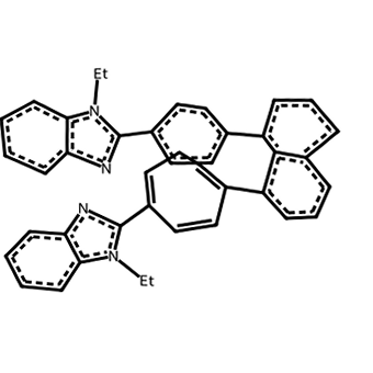 CCn1c(C2=CCC=C(c3cccc4cccc(-c5ccc(-c6nc7ccccc7n6CC)cc5)c34)C=C2)nc2ccccc21